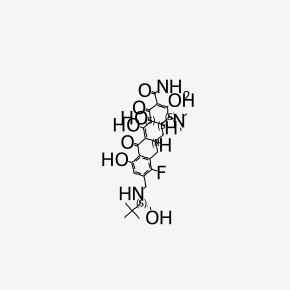 CN(C)[C@@H]1C(O)=C(C(N)=O)C(=O)[C@@]2(O)C(O)=C3C(=O)c4c(O)cc(CN[C@H](CO)C(C)(C)C)c(F)c4C[C@H]3C[C@@H]12